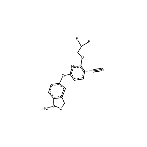 N#Cc1ccc(Oc2ccc3c(c2)COB3O)nc1OCC(F)F